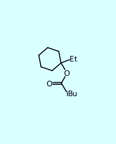 CCC(C)C(=O)OC1(CC)CCCCC1